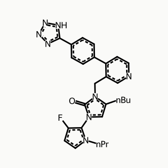 CCCCc1cn(-c2c(F)ccn2CCC)c(=O)n1Cc1cnccc1-c1ccc(-c2nnn[nH]2)cc1